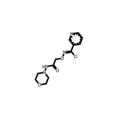 O=C(CO/N=C(\Cl)c1cccnc1)NN1CCOCC1